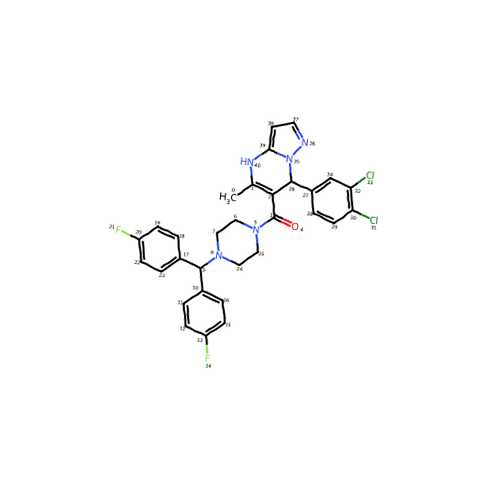 CC1=C(C(=O)N2CCN(C(c3ccc(F)cc3)c3ccc(F)cc3)CC2)C(c2ccc(Cl)c(Cl)c2)n2nccc2N1